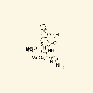 CO/N=C(\C(=O)N[C@@H]1C(=O)N2C(C(=O)O)=C(C[N+]3(C)CCCC3)CS[C@H]12)c1csc(N)n1.Cl.O.[Cl-]